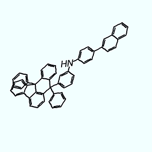 c1ccc(C2(c3cccc(Nc4ccc(-c5ccc6ccccc6c5)cc4)c3)c3ccccc3C3(c4ccccc4)c4ccccc4-c4cccc2c43)cc1